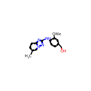 COc1cc(CO)ccc1Nc1nc2ccc(C)cn2n1